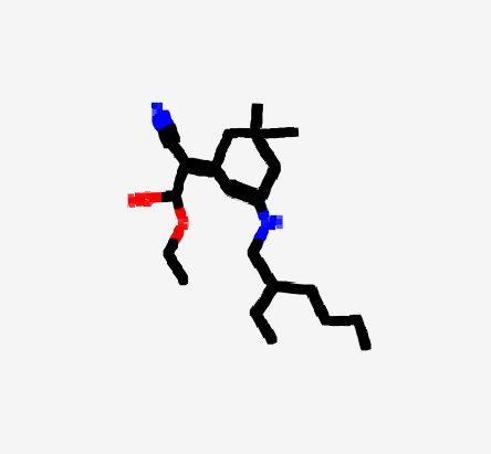 CCCCC(CC)CNC1=C/C(=C(/C#N)C(O)OCC)CC(C)(C)C1